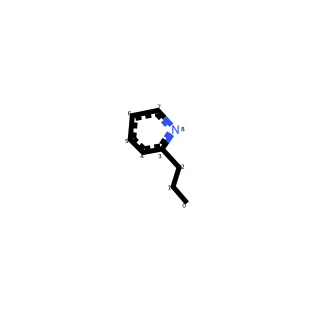 CC[CH]c1ccccn1